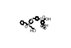 CCCCN(C(=O)CC1CCCCC1)C1CCN(Cc2ccc(Oc3ccc(NS(C)(=O)=O)cc3C(=O)O)cc2)CC1.Cl